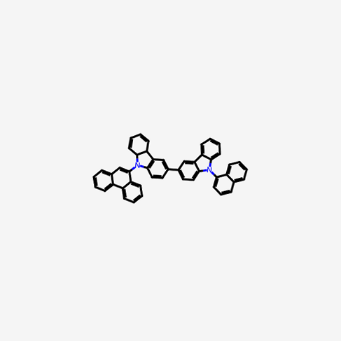 C1=CC2c3cc(-c4ccc5c(c4)c4ccccc4n5-c4cccc5ccccc45)ccc3N(c3cc4ccccc4c4ccccc34)C2C=C1